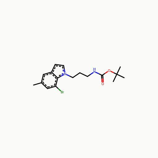 Cc1cc(Br)c2c(ccn2CCCNC(=O)OC(C)(C)C)c1